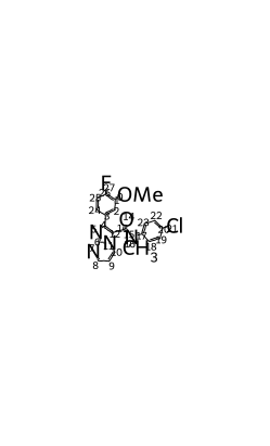 COc1cc(-c2nc3ncccn3c2C(=O)N(C)c2ccc(Cl)cc2)ccc1F